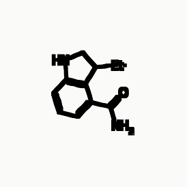 C[CH]C1CNc2cccc(C(N)=O)c21